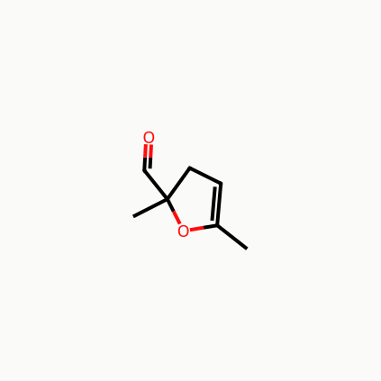 CC1=CCC(C)(C=O)O1